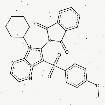 COc1ccc(S(=O)(=O)c2c(N3C(=O)c4ccccc4C3=O)n(C3CCCCC3)c3nccnc23)cc1